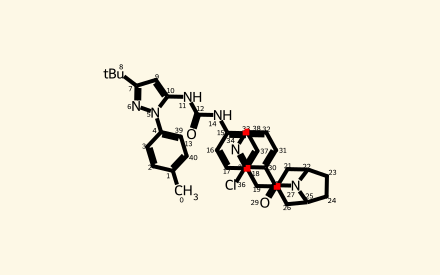 Cc1ccc(-n2nc(C(C)(C)C)cc2NC(=O)Nc2ccc(CC3CC4CCC(C3)N4C(=O)c3cccnc3Cl)cc2)cc1